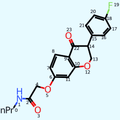 CCCNC(=O)COc1ccc2c(c1)OCC(c1ccc(F)cc1)C2=O